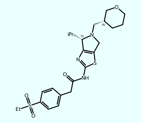 CCS(=O)(=O)c1ccc(CC(=O)Nc2nc3c(s2)CN(C[C@H]2CCCOC2)[C@H]3C(C)C)cc1